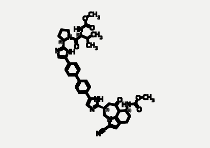 COC(=O)N[C@H]1CCc2cc(C#N)n3c2C1C(=O)C[C@H](c1ncc(-c2ccc(-c4ccc(-c5cnc([C@H]6CCCN6C(=O)[C@H](NC(=O)OC)C(C)C)[nH]5)cc4)cc2)[nH]1)C3